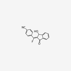 N#Cc1ccc(C(F)=C2C(=O)c3ccccc3C2O)cc1